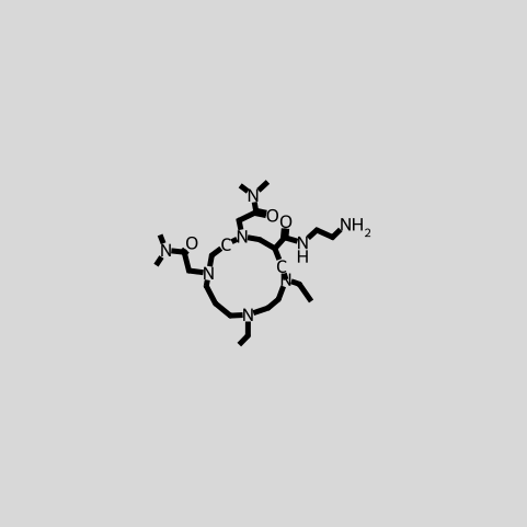 CCN1CCCN(CC(=O)N(C)C)CCN(CC(=O)N(C)C)CC(C(=O)NCCN)CN(CC)CC1